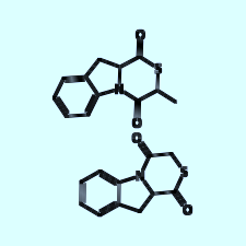 CC1SC(=O)C2Cc3ccccc3N2C1=O.O=C1SCC(=O)N2c3ccccc3CC12